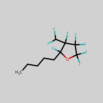 CCCCCC1(F)OC(F)(F)C(F)(F)C1(F)C(F)F